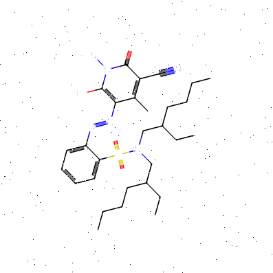 CCCCC(CC)CN(CC(CC)CCCC)S(=O)(=O)c1ccccc1/N=N/c1c(C)c(C#N)c(=O)n(N)c1O